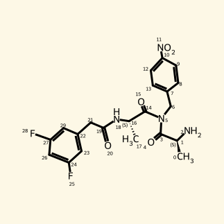 C[C@H](N)C(=O)N(Cc1ccc([N+](=O)[O-])cc1)C(=O)[C@H](C)NC(=O)Cc1cc(F)cc(F)c1